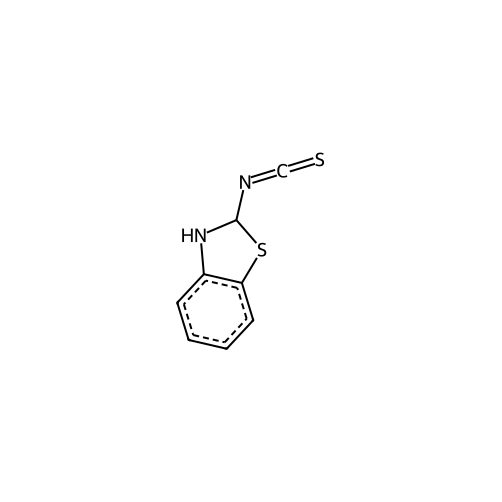 S=C=NC1Nc2ccccc2S1